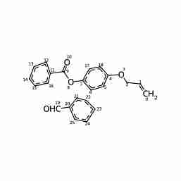 C=CCOc1ccc(OC(=O)c2ccccc2)cc1.O=Cc1ccccc1